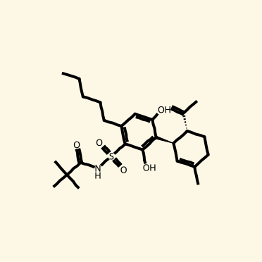 C=C(C)[C@@H]1CCC(C)=C[C@H]1c1c(O)cc(CCCCC)c(S(=O)(=O)NC(=O)C(C)(C)C)c1O